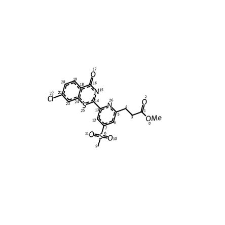 COC(=O)CCc1cc(S(C)(=O)=O)cc(-c2nc(=O)c3ccc(Cl)cc3s2)n1